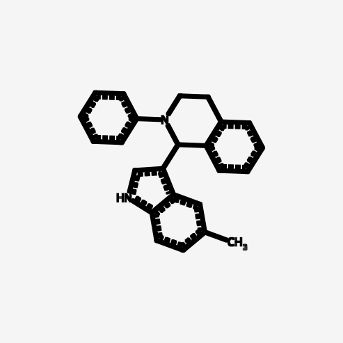 Cc1ccc2[nH]cc(C3c4ccccc4CCN3c3ccccc3)c2c1